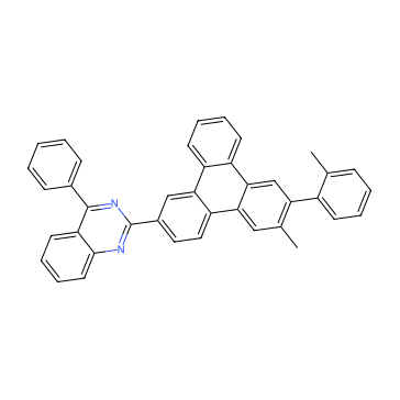 Cc1ccccc1-c1cc2c3ccccc3c3cc(-c4nc(-c5ccccc5)c5ccccc5n4)ccc3c2cc1C